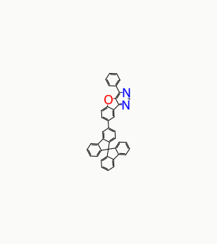 c1ccc(-c2ncnc3c2oc2ccc(-c4ccc5c(c4)-c4ccccc4C54c5ccccc5-c5ccccc54)cc23)cc1